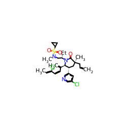 C=CC[C@@]1(C)C[C@H](c2cncc(Cl)c2)[C@@H](C(=C)/C=C\C(Cl)=C\C)N([C@@H](CC)CN(C)S(=O)(=O)C2CC2)C1=O